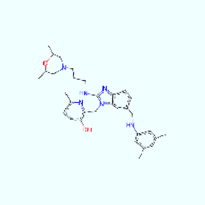 Cc1cc(C)cc(NCc2ccc3nc(NCCCN4CC(C)OC(C)C4)n(Cc4nc(C)ccc4O)c3c2)c1